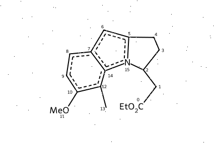 CCOC(=O)CC1CCc2cc3ccc(OC)c(C)c3n21